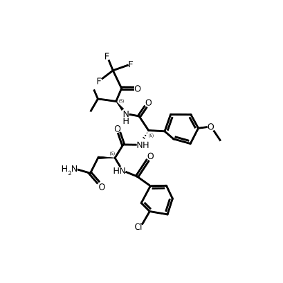 COc1ccc([C@H](NC(=O)[C@H](CC(N)=O)NC(=O)c2cccc(Cl)c2)C(=O)N[C@H](C(=O)C(F)(F)F)C(C)C)cc1